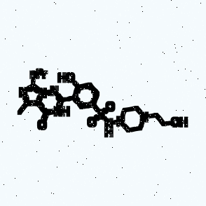 CCCc1nc(C)c2c(=O)[nH]c(-c3cc(S(=O)(=O)NN4CCN(CCO)CC4)ccc3O)nn12